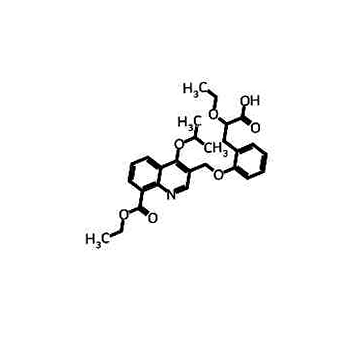 CCOC(=O)c1cccc2c(OC(C)C)c(COc3ccccc3CC(OCC)C(=O)O)cnc12